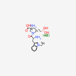 Cl.Cl.[2H]Cn1cc(CC(N)C(=O)N2C[C@@H](CCB(O)O)C[C@](N)(C(=O)O)C2)c2ccccc21